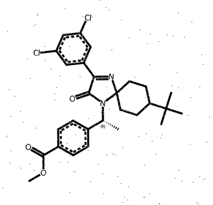 COC(=O)c1ccc([C@@H](C)N2C(=O)C(c3cc(Cl)cc(Cl)c3)=NC23CCC(C(C)(C)C)CC3)cc1